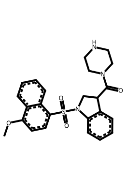 COc1ccc(S(=O)(=O)N2CC(C(=O)N3CCNCC3)c3ccccc32)c2ccccc12